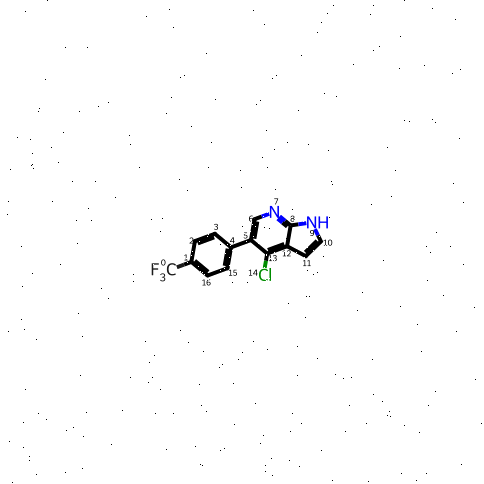 FC(F)(F)c1ccc(-c2cnc3[nH]ccc3c2Cl)cc1